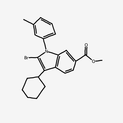 COC(=O)c1ccc2c(C3CCCCC3)c(Br)n(-c3cccc(C)c3)c2c1